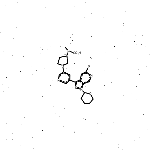 CN(C(=O)O)[C@@H]1CCN(c2cncc(-c3nn(C4CCCCO4)c4cnc(Br)cc34)c2)C1